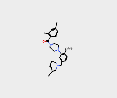 COc1ccc(CN2CCCC(C)C2)cc1N1CCN(C(=O)c2ccc(C)cc2C)CC1